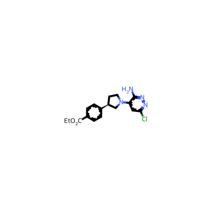 CCOC(=O)c1ccc([C@H]2CCN(c3cc(Cl)nnc3N)C2)cc1